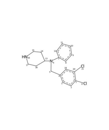 Clc1ccc(CN(c2ccccc2)C2CCNCC2)cc1Cl